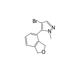 Cn1ncc(Br)c1-c1cccc2c1COC2